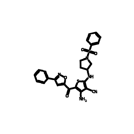 N#Cc1c(NC2CCN(S(=O)(=O)c3ccccc3)C2)sc(C(=O)c2cc(-c3ccccc3)no2)c1N